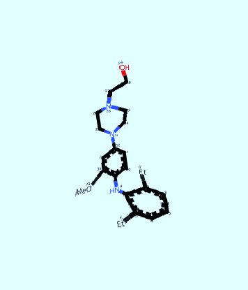 CCc1cccc(CC)c1Nc1ccc(N2CCN(CCO)CC2)cc1OC